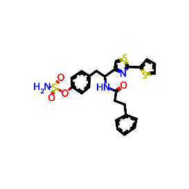 NS(=O)(=O)Oc1ccc(CC(NC(=O)CCc2ccccc2)c2csc(-c3cccs3)n2)cc1